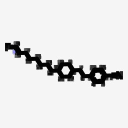 N#Cc1ccc(CCC2CCC(CCCCCC/C=C/F)CC2)cc1